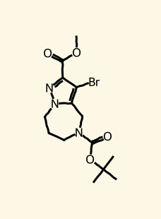 COC(=O)c1nn2c(c1Br)CN(C(=O)OC(C)(C)C)CCC2